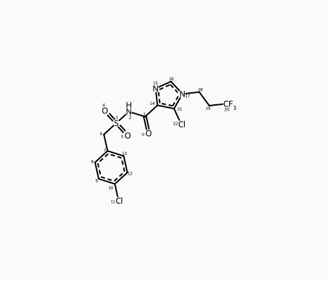 O=C(NS(=O)(=O)Cc1ccc(Cl)cc1)c1ncn(CCC(F)(F)F)c1Cl